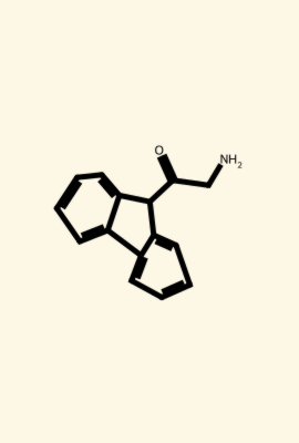 NCC(=O)C1c2ccccc2-c2ccccc21